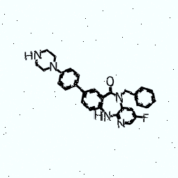 O=C1c2cc(-c3ccc(N4CCNCC4)cc3)ccc2Nc2ncc(F)cc2N1Cc1ccccc1